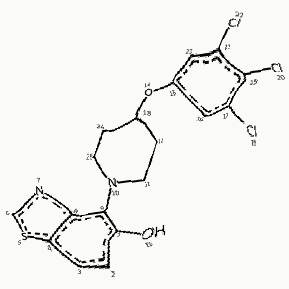 Oc1ccc2scnc2c1N1CCC(Oc2cc(Cl)c(Cl)c(Cl)c2)CC1